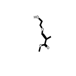 COC(=O)C(C)=COCCO